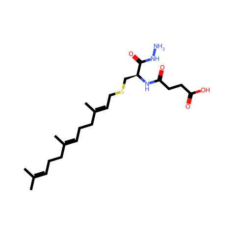 CC(C)=CCC/C(C)=C/CC/C(C)=C/CSC[C@H](NC(=O)CCC(=O)O)C(=O)NN